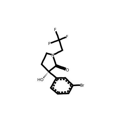 O=C1N(CC(F)(F)F)CC[C@]1(O)c1cccc(Br)c1